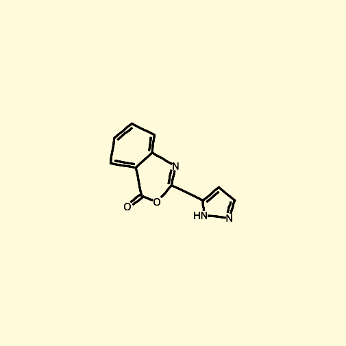 O=c1oc(-c2ccn[nH]2)nc2ccccc12